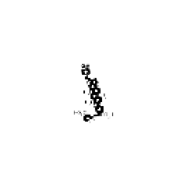 CC1(C)C(C2=CCC(CCOc3cc(C(=O)O)ccn3)(C(=O)O)CC2)=CCC2(C)C1CCC1(C)C3CCC4(NCCN5CCS(=O)(=O)CC5)CCC[C@@H]4C3CCC12